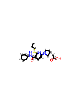 CCCSc1nc(N2CC[C@H](CC(=O)O)C2)ccc1C(=O)NC1CCCCC1